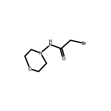 O=C(CBr)NN1CCOCC1